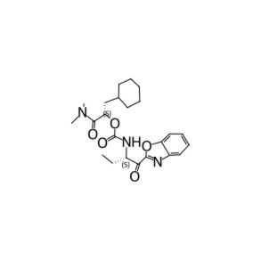 CC[C@H](NC(=O)O[C@@H](CC1CCCCC1)C(=O)N(C)C)C(=O)c1nc2ccccc2o1